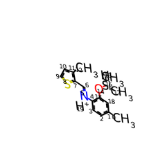 Cc1ccc(N=Cc2sccc2C)c(O[SiH](C)C)c1.[H+]